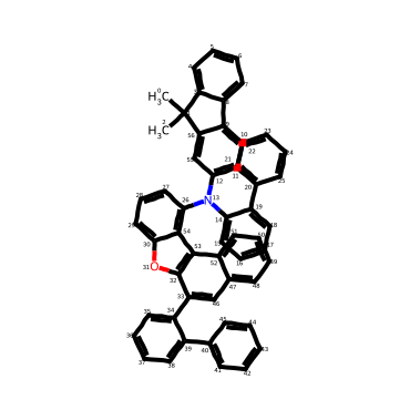 CC1(C)c2ccccc2-c2ccc(N(c3ccccc3-c3ccccc3)c3cccc4oc5c(-c6ccccc6-c6ccccc6)cc6ccccc6c5c34)cc21